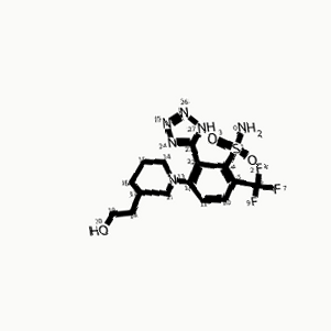 NS(=O)(=O)c1c(C(F)(F)F)ccc(N2CCCC(CCO)C2)c1-c1nnn[nH]1